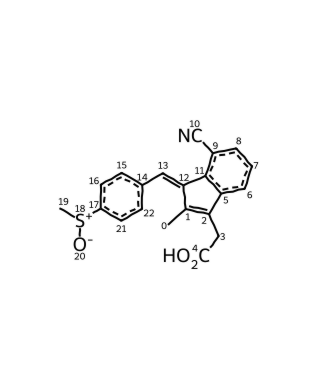 CC1=C(CC(=O)O)c2cccc(C#N)c2C1=Cc1ccc([S+](C)[O-])cc1